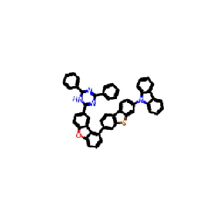 c1ccc(C2=NC(c3ccccc3)NC(c3ccc4oc5cccc(-c6ccc7c(c6)sc6cc(-n8c9ccccc9c9ccccc98)ccc67)c5c4c3)=N2)cc1